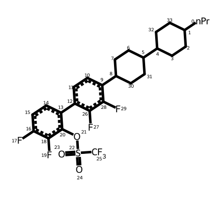 CCCC1CCC(C2CCC(c3ccc(-c4ccc(F)c(F)c4OS(=O)(=O)C(F)(F)F)c(F)c3F)CC2)CC1